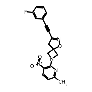 Cc1ccc([N+](=O)[O-])c(N2CC3(CC(C#Cc4cccc(F)c4)=NO3)C2)n1